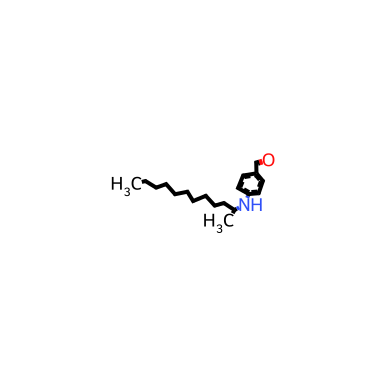 CCCCCCCCCCC(C)Nc1ccc(C=O)cc1